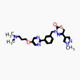 CN(C)CCCOc1cnc(-c2cccc(CN3N=C(c4cnn(C)c4)CSC3=O)c2)nc1